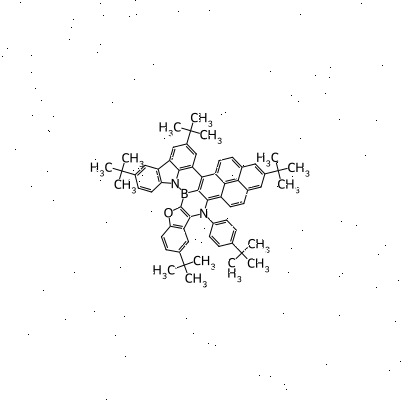 CC(C)(C)c1ccc(N2c3c(oc4ccc(C(C)(C)C)cc34)B3c4c(c5ccc6cc(C(C)(C)C)cc7ccc(c42)c5c67)-c2cc(C(C)(C)C)cc4c5cc(C(C)(C)C)ccc5n3c24)cc1